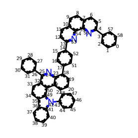 c1ccc(-c2ccc3ccc4ccc(-c5ccc(-c6cccc7c6nc(-c6ccccc6)c6ccc8c9ccccc9n(-c9ccccc9)c8c67)cc5)nc4c3n2)cc1